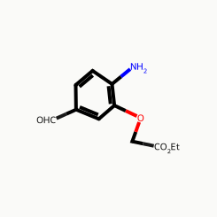 CCOC(=O)COc1cc(C=O)ccc1N